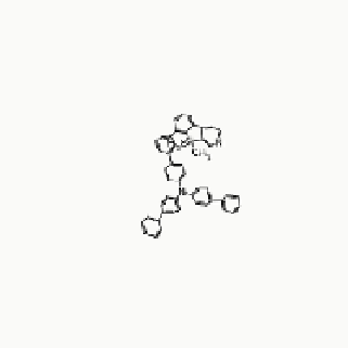 C[Si]1(C)c2cnccc2-c2cccc(-c3cccc(-c4ccc(N(c5ccc(-c6ccccc6)cc5)c5ccc(-c6ccccc6)cc5)cc4)c3)c21